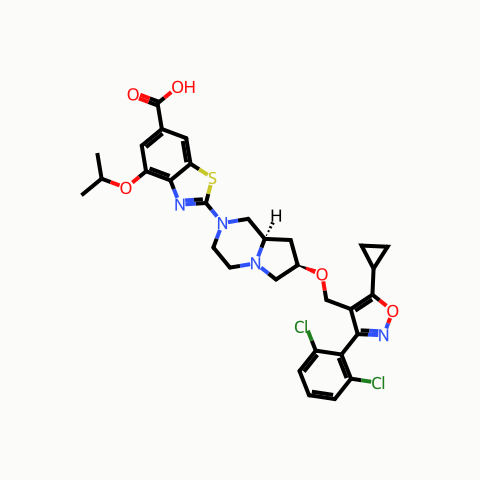 CC(C)Oc1cc(C(=O)O)cc2sc(N3CCN4C[C@H](OCc5c(-c6c(Cl)cccc6Cl)noc5C5CC5)C[C@@H]4C3)nc12